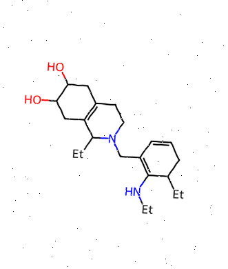 CCNC1=C(CN2CCC3=C(CC(O)C(O)C3)C2CC)C=CCC1CC